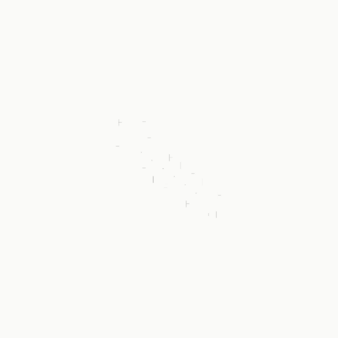 OC(F)C(F)(F)C(F)(F)C(F)(F)C(F)(F)C(F)(F)C(F)(F)C(F)C(F)F